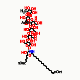 CCCCCCCC/C=C\CCCCCCCCCCCCCCCC(=O)N[C@@H](CO[C@@H]1OC(CO)[C@@H](O[C@@H]2OC(CO)[C@H](O)[C@H](O[C@H]3OC(CO)[C@H](O)[C@H](O[C@@H]4OC(CO)[C@H](O)[C@H](O[C@@H]5OC(CO)[C@H](O)[C@H](O)C5O[C@H]5OC(C)[C@@H](O)C(O)[C@@H]5O)C4NC(C)=O)C3O)C2O)[C@H](O)C1O)[C@H](O)/C=C/CCCCCCCCCCCCC